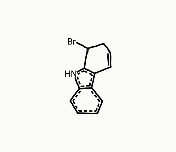 BrC1CC=Cc2c1[nH]c1ccccc21